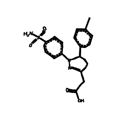 Cc1ccc(C2CC(CC(=O)O)=NN2c2ccc(S(N)(=O)=O)cc2)cc1